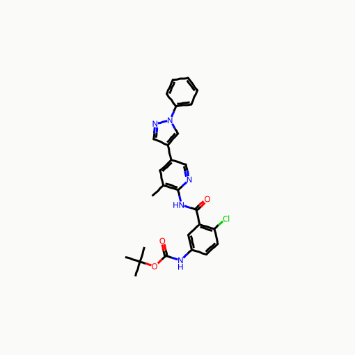 Cc1cc(-c2cnn(-c3ccccc3)c2)cnc1NC(=O)c1cc(NC(=O)OC(C)(C)C)ccc1Cl